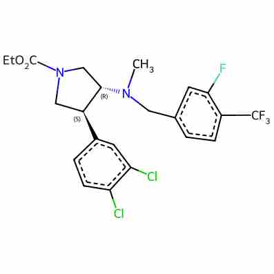 CCOC(=O)N1C[C@H](c2ccc(Cl)c(Cl)c2)[C@@H](N(C)Cc2ccc(C(F)(F)F)c(F)c2)C1